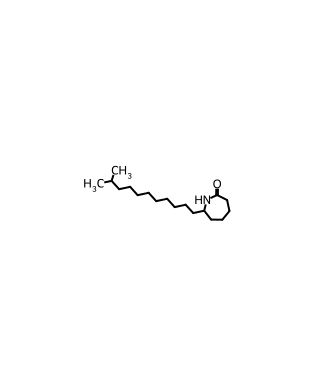 CC(C)CCCCCCCCCC1CCCCC(=O)N1